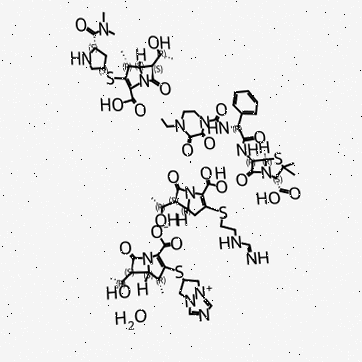 CCN1CCN(C(=O)N[C@@H](C(=O)N[C@@H]2C(=O)N3[C@@H]2SC(C)(C)[C@@H]3C(=O)O)c2ccccc2)C(=O)C1=O.C[C@@H](O)[C@H]1C(=O)N2C(C(=O)O)=C(SCCNC=N)C[C@H]12.C[C@@H](O)[C@H]1C(=O)N2C(C(=O)O)=C(S[C@@H]3CN[C@H](C(=O)N(C)C)C3)[C@H](C)[C@H]12.C[C@@H](O)[C@H]1C(=O)N2C(C(=O)[O-])=C(SC3Cn4cnc[n+]4C3)[C@H](C)[C@H]12.O